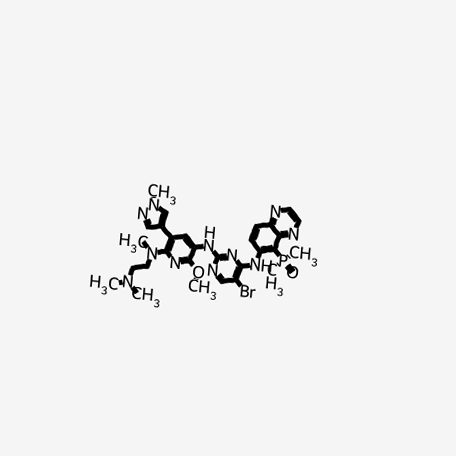 COc1nc(N(C)CCN(C)C)c(-c2cnn(C)c2)cc1Nc1ncc(Br)c(Nc2ccc3nccnc3c2P(C)(C)=O)n1